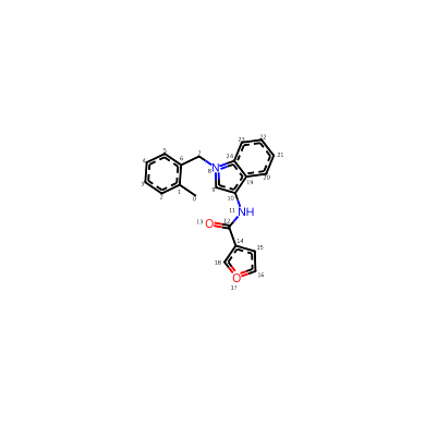 Cc1ccccc1Cn1cc(NC(=O)c2ccoc2)c2ccccc21